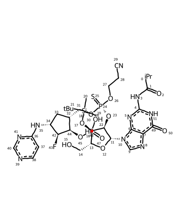 CC(C)C(=O)Nc1nc2c(ncn2[C@@H]2O[C@H](CO)[C@@H](O[Si](C)(C)C(C)(C)C)[C@H]2O[P@](=S)(OCCC#N)OC[C@H]2C[C@@H](Nc3ccncn3)[C@H](F)[C@@H]2O[PH](=O)O)c(=O)[nH]1